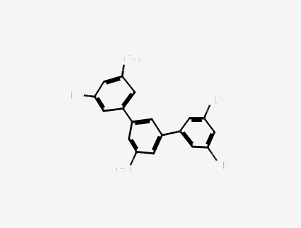 CC(C)(C)c1cc(-c2cc(C(C)(C)C)cc(C(C)(C)C)c2)cc(-c2cc(C(C)(C)C)cc(C(C)(C)C)c2)c1